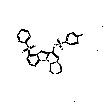 Cc1ccc(S(=O)(=O)OC(=CC2CCOCC2)c2cc3c(S(=O)(=O)c4ccccc4)ccnc3[nH]2)cc1